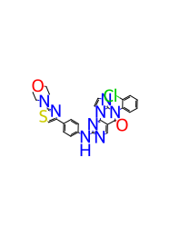 O=c1c2cnc(Nc3ccc(-c4csc(N5CCOCC5)n4)cc3)nc2n2ccnc2n1-c1ccccc1Cl